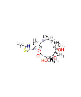 C/C(=C\c1csc(C)n1)[C@@H]1C/C=C(/C(F)(F)F)C[C@@H]2C[C@H]2[C@H](C)[C@H](O)[C@@H](C)C(=O)C(C)(C)[C@@H](O)CC(=O)O1